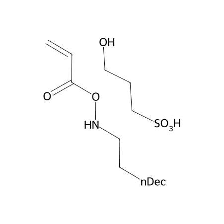 C=CC(=O)ONCCCCCCCCCCCC.O=S(=O)(O)CCCO